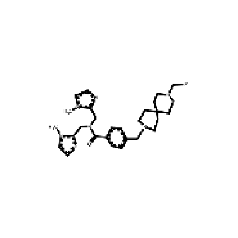 CC(C)CN1CCC2(CCN(Cc3ccc(C(=O)N(Cc4nccn4C)Cc4nccn4C)cc3)CC2)CC1